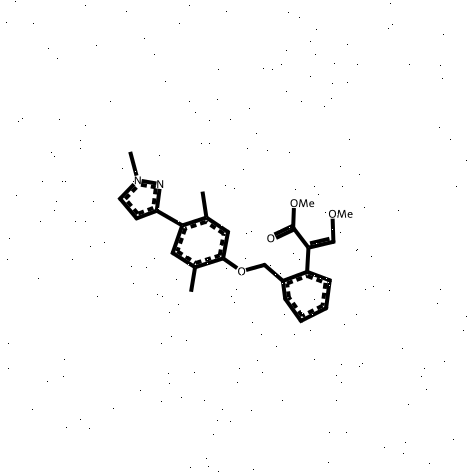 CO/C=C(\C(=O)OC)c1ccccc1COc1cc(C)c(-c2ccn(C)n2)cc1C